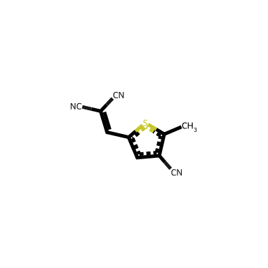 Cc1sc(C=C(C#N)C#N)cc1C#N